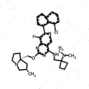 C[C@H]1CN2CCC[C@@]2(COc2nc(NCC3(N(C)C)CCC3)c3cnc(-c4cccc5cccc(Cl)c45)c(F)c3n2)C1